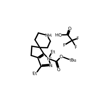 CCC1=N[N+](CC)(C(=O)OC(C)(C)C)C2=C1CCC21CCNCC1.O=C(O)C(F)(F)F